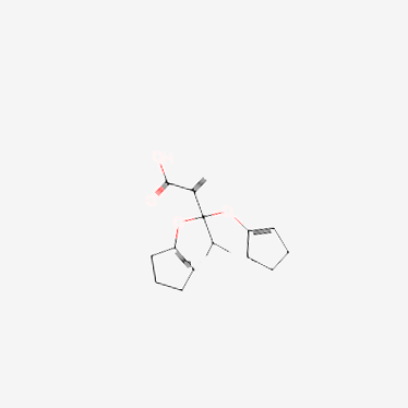 C=C(C(=O)O)C(OC1=CCCC1)(OC1=CCCC1)C(C)C